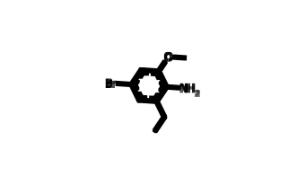 CCc1cc(Br)cc(OC)c1N